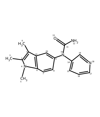 Cc1c(C)n(C)c2ccc(N(C(N)=O)c3cccnc3)cc12